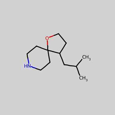 CC(C)CC1CCOC12CCNCC2